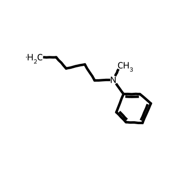 [CH2]CCCCN(C)c1ccccc1